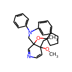 CCC1(OC)C=CN=CC1(CN(c1ccccc1)c1ccccc1)OC1CCCC1